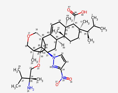 CC(C)[C@@H](C)[C@@]1(C)CC[C@]2(C)[C@H]3CC[C@@H]4[C@@]5(COC[C@]4(C)[C@@H](OC[C@](C)(N)C(C)C)[C@H](n4ccc([N+](=O)[O-])n4)C5)C3=CC[C@@]2(C)[C@@H]1C(=O)O